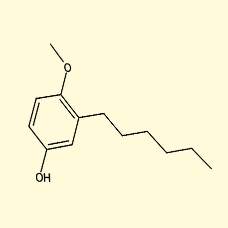 CCCCCCc1cc(O)ccc1OC